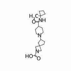 CC1(NC(=O)C2CCN(C3CCC4(C3)CN(C(=O)O)C4)CC2)CCC1